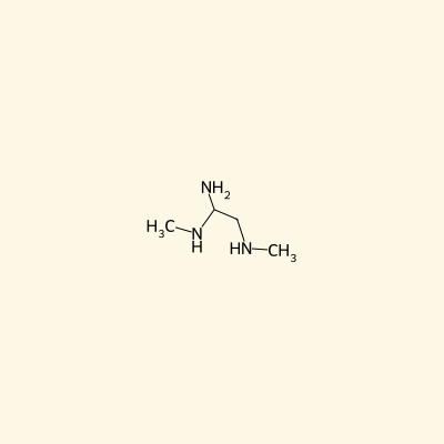 CNCC(N)NC